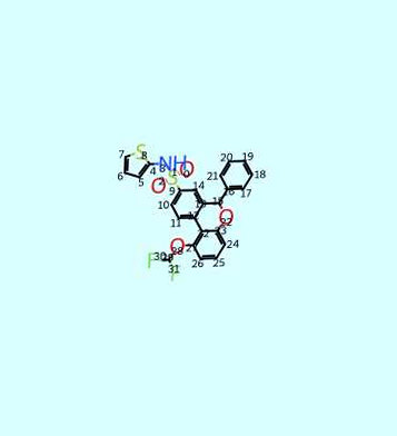 O=S(=O)(Nc1cccs1)c1ccc2c(c1)C(c1ccccc1)Oc1cccc(OC(F)F)c1-2